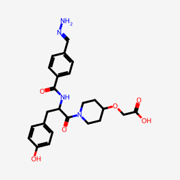 NN=Cc1ccc(C(=O)NC(Cc2ccc(O)cc2)C(=O)N2CCC(OCC(=O)O)CC2)cc1